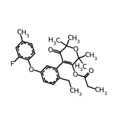 CCC(=O)OC1=C(c2cc(Oc3ccc(C)cc3F)ccc2CC)C(=O)C(C)(C)OC1(C)C